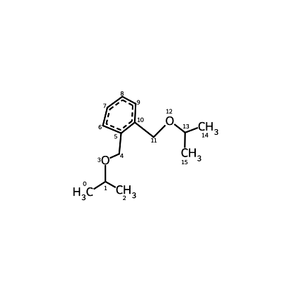 CC(C)OCc1ccccc1COC(C)C